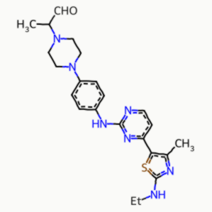 CCNc1nc(C)c(-c2ccnc(Nc3ccc(N4CCN(C(C)C=O)CC4)cc3)n2)s1